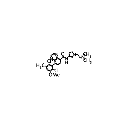 COc1cc(C)c(Cl)c(-c2ccc(C(=O)Nc3ccn(CCN(C)C)c3)c3nccnc23)c1Cl